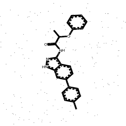 Cc1ccc(-c2ccc3c(NC(=O)C(C)Oc4ccccc4)n[nH]c3c2)cc1